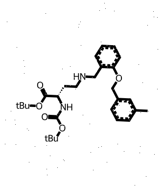 Cc1cccc(COc2ccccc2CNCC[C@H](NC(=O)OC(C)(C)C)C(=O)OC(C)(C)C)c1